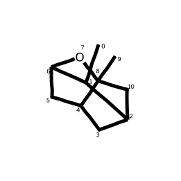 CC1C2CC3CC1OC3(C)C2